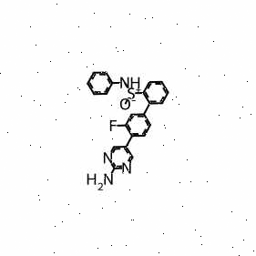 Nc1ncc(-c2ccc(-c3ccccc3[S+]([O-])Nc3ccccc3)cc2F)cn1